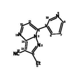 CCc1nn2c(-c3cccnc3)ccnc2c1C#N